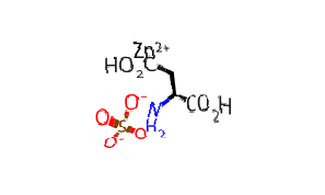 N[C@@H](CC(=O)O)C(=O)O.O=S(=O)([O-])[O-].[Zn+2]